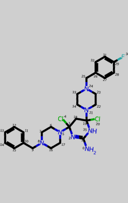 NC1=NC(Cl)(N2CCN(Cc3ccccc3)CC2)CC(Cl)(N2CCN(Cc3ccc(F)cc3)CC2)N1